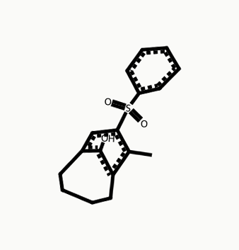 Cc1c(S(=O)(=O)c2ccccc2)cc2c(O)c1CCCC2